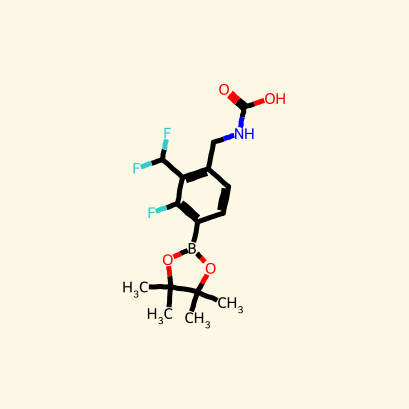 CC1(C)OB(c2ccc(CNC(=O)O)c(C(F)F)c2F)OC1(C)C